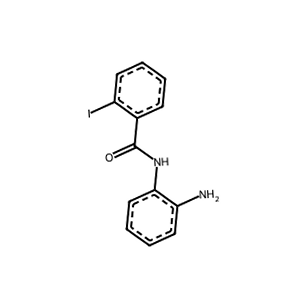 Nc1ccccc1NC(=O)c1ccccc1I